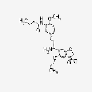 CCCOc1cc2c(cc1C(N)CCc1ccc(OC)c(NC(=O)CCC)c1)OCS2(=O)=O